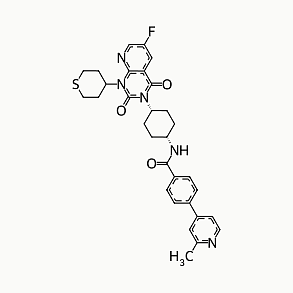 Cc1cc(-c2ccc(C(=O)N[C@H]3CC[C@@H](n4c(=O)c5cc(F)cnc5n(C5CCSCC5)c4=O)CC3)cc2)ccn1